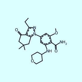 CCc1nn(-c2cc(NC3CCOCC3)c(C(N)=O)c(OC)c2)c2c1C(=O)CC(C)(C)C2